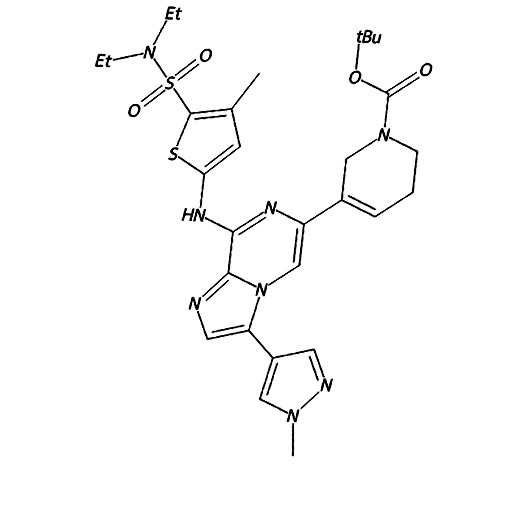 CCN(CC)S(=O)(=O)c1sc(Nc2nc(C3=CCCN(C(=O)OC(C)(C)C)C3)cn3c(-c4cnn(C)c4)cnc23)cc1C